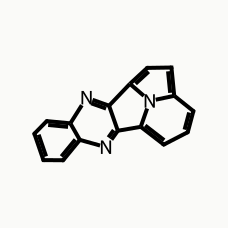 c1ccc2nc3c(nc2c1)c1cccc2ccc3n21